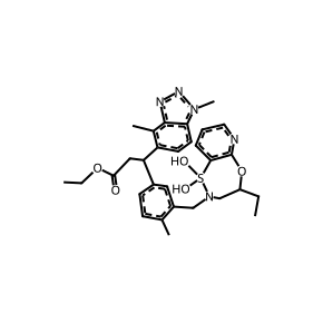 CCOC(=O)CC(c1ccc(C)c(CN2CC(CC)Oc3ncccc3S2(O)O)c1)c1ccc2c(nnn2C)c1C